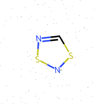 C1=NS[N]S1